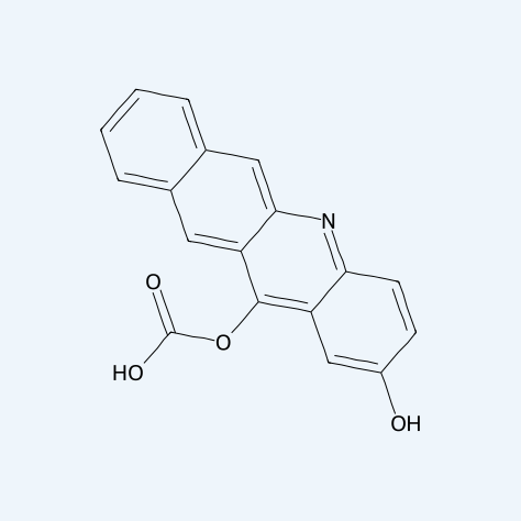 O=C(O)Oc1c2cc(O)ccc2nc2cc3ccccc3cc12